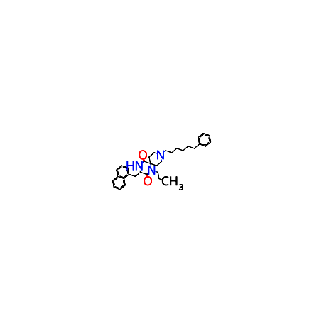 CCCN1C(=O)[C@@H](Cc2cccc3ccccc23)NC(=O)C12CCN(CCCCCCc1ccccc1)CC2